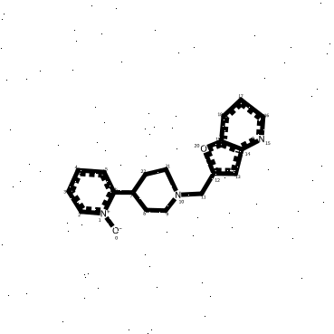 [O-][n+]1ccccc1C1CCN(Cc2cc3ncccc3o2)CC1